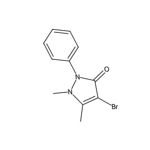 Cc1c(Br)c(=O)n(-c2ccccc2)n1C